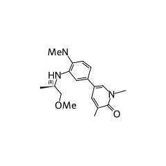 CNc1ccc(-c2cc(C)c(=O)n(C)c2)cc1N[C@H](C)COC